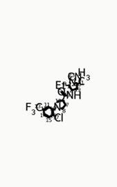 CC[C@@H]1[C@H](NC(=O)[C@H]2CCN(c3cc(C(F)(F)F)ccc3Cl)C2)C[C@H](C)N1C#N